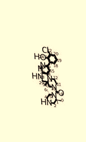 C[C@H]1CNC[C@H](C)N1C(=O)N1CCN2c3cc(-c4cccc(Cl)c4O)nnc3NCC2(C)C1